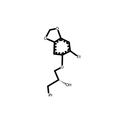 CCc1cc2c(cc1OC[C@H](O)CC(C)C)OCO2